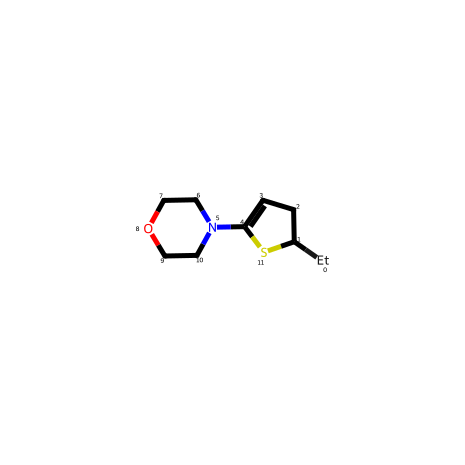 CCC1CC=C(N2CCOCC2)S1